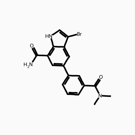 CN(C)C(=O)c1cccc(-c2cc(C(N)=O)c3[nH]cc(Br)c3c2)c1